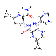 CN(C)C(=O)c1nc(C2CC2)ccc1NC(=O)c1nc(C2CC2)cnc1Nc1cncnc1